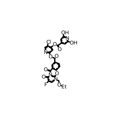 CCOCn1cc(F)c(=O)n(C(=O)c2cccc(C(=O)Oc3cc(OC(=O)c4cc(O)nc(O)c4)c(Cl)cn3)c2)c1=O